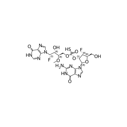 CO[C@H](COP(=O)(S)O[C@@H]1[C@H](F)[C@@H](CO)O[C@H]1n1cnc2c(=O)[nH]c(N)nc21)[C@@H](O)[C@H](F)n1cnc2c(=O)[nH]cnc21